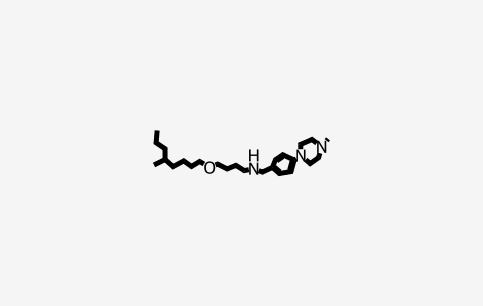 CCCC(C)CCCCOCCCCNCc1ccc(N2CCN(C)CC2)cc1